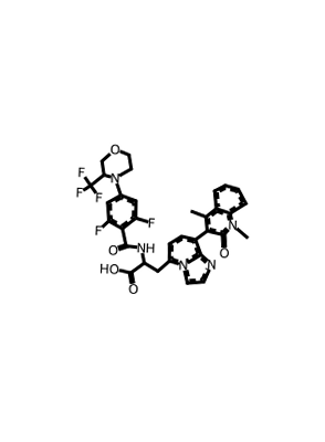 Cc1c(-c2ccc(CC(NC(=O)c3c(F)cc(N4CCOCC4C(F)(F)F)cc3F)C(=O)O)n3ccnc23)c(=O)n(C)c2ccccc12